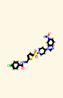 O=C(NCc1ccc(S(=O)(=O)N2CCC(n3cnc4ccc([N+](=O)[O-])cc43)CC2)s1)c1ccc(Cl)cc1